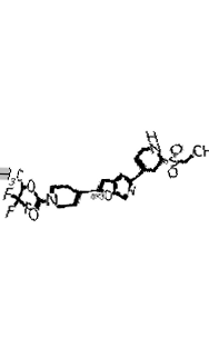 CCS(=O)(=O)[C@@H]1CC(c2cc3c(cn2)O[C@@H](C2CCN(C(=O)OC(C)C(F)(F)F)CC2)C3)=CCN1